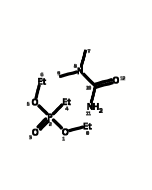 CCOP(=O)(CC)OCC.CN(C)C(N)=O